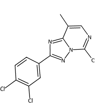 Cc1cnc(Cl)n2nc(-c3ccc(Cl)c(Cl)c3)nc12